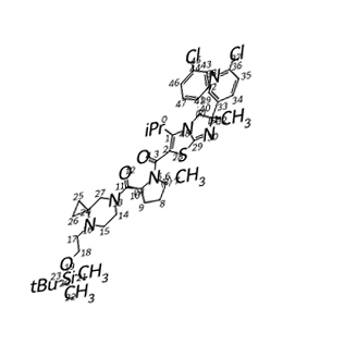 CC(C)C1=C(C(=O)N2[C@H](C)CC[C@H]2C(=O)N2CCN(CCO[Si](C)(C)C(C)(C)C)C3(CC3)C2)SC2=N[C@@](C)(c3ccc(Cl)nc3)[C@@H](c3ccc(Cl)cc3)N21